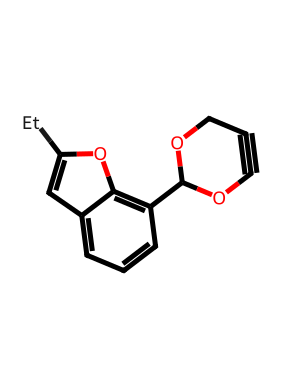 CCc1cc2cccc(C3OC#CCO3)c2o1